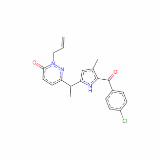 C=CCn1nc(C(C)c2cc(C)c(C(=O)c3ccc(Cl)cc3)[nH]2)ccc1=O